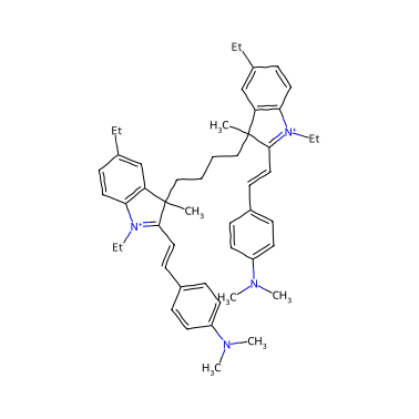 CCc1ccc2c(c1)C(C)(CCCCC1(C)C(C=Cc3ccc(N(C)C)cc3)=[N+](CC)c3ccc(CC)cc31)C(C=Cc1ccc(N(C)C)cc1)=[N+]2CC